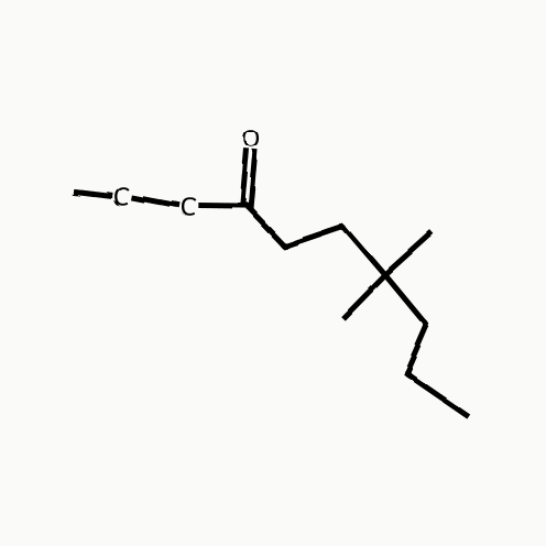 CCCC(=O)CCC(C)(C)CCC